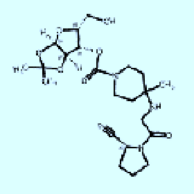 CC1(NCC(=O)N2CCC[C@H]2C#N)CCN(C(=O)O[C@@H]2[C@H]3OC(C)(C)O[C@H]3O[C@@H]2CO)CC1